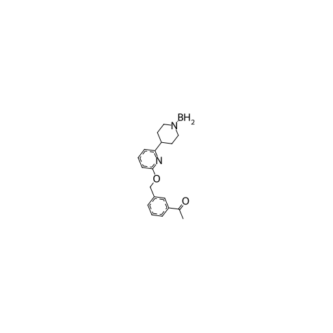 BN1CCC(c2cccc(OCc3cccc(C(C)=O)c3)n2)CC1